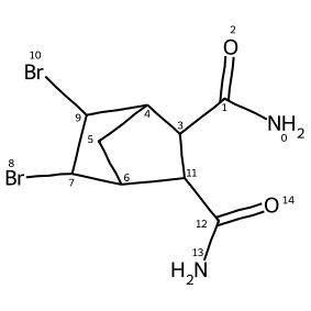 NC(=O)C1C2CC(C(Br)C2Br)C1C(N)=O